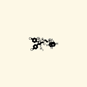 Cc1c(C(=O)N(C)CCN(C)C2[C@H]3C[C@@H]4C[C@@H](C[C@H]2C4)C3)nn(-c2ccc(Cl)cc2Cl)c1-c1ccc(Cl)cc1